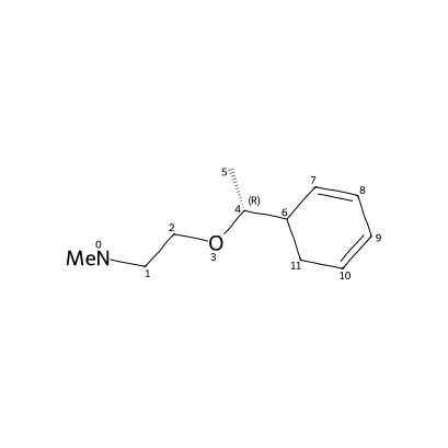 CNCCO[C@H](C)C1C=CC=CC1